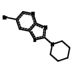 Brc1cnc2nc(N3CCCCC3)sc2c1